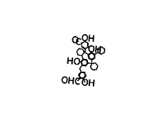 O=C=C1C=C(Cc2cc(C3(c4cc(Cc5ccc(O)c(C=O)c5)c(O)c(C5CCCCC5)c4)CCCCC3)cc(C3CCCCC3)c2O)C=CC1O